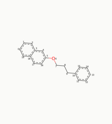 [c]1ccc2cc(OCCCc3ccccc3)ccc2c1